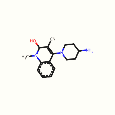 CN1c2ccccc2C(N2CCC(N)CC2)=C(C#N)C1O